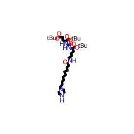 CC(C)(C)OC(=O)CCC(NC(=O)NC(CCCCNC(=O)CCCCCCCCCCN1CCNCC1)C(=O)OC(C)(C)C)C(=O)OC(C)(C)C